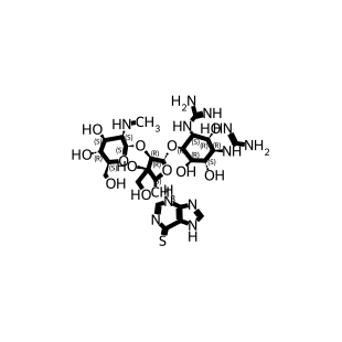 CN[C@@H]1[C@H](O[C@H]2[C@H](O[C@H]3[C@H](O)[C@@H](O)[C@H](NC(=N)N)[C@@H](O)[C@@H]3NC(=N)N)O[C@@H](C)[C@]2(O)CO)O[C@@H](CO)[C@H](O)[C@H]1O.S=c1nc[nH]c2nc[nH]c12